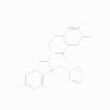 CC(n1cnc2cc(F)c(F)cc2c1=O)C(O)(Cn1cncn1)c1ccc(F)cc1F